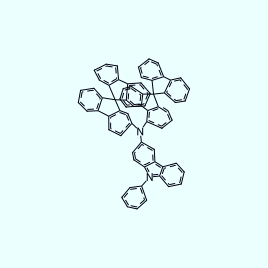 c1ccc(-n2c3ccccc3c3cc(N(c4ccc5c(c4)C4(c6ccccc6-c6ccccc64)c4ccccc4-5)c4cccc5c4-c4ccccc4C54c5ccccc5-c5ccccc54)ccc32)cc1